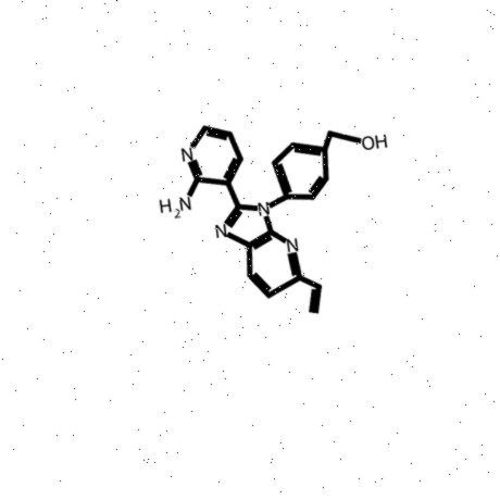 C=Cc1ccc2nc(-c3cccnc3N)n(-c3ccc(CO)cc3)c2n1